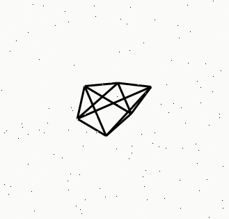 C123C45C16C21C34C561